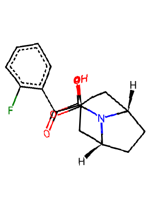 O=C(O)N1[C@@H]2CC[C@H]1C[C@@](O)(C(=O)c1ccccc1F)C2